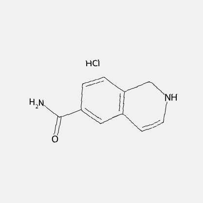 Cl.NC(=O)c1ccc2c(c1)C=CNC2